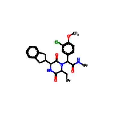 CC(C)CC1C(=O)NC(C2Cc3ccccc3C2)C(=O)N1C(C(=O)NC(C)C)c1ccc(OC(F)(F)F)c(Cl)c1